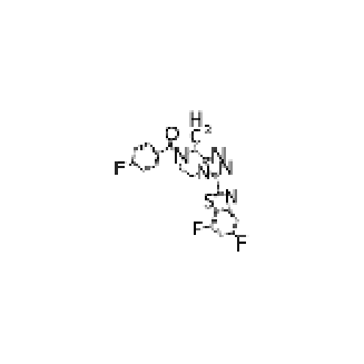 C[C@@H]1c2nnc(-c3nc4cc(F)cc(F)c4s3)n2CCN1C(=O)c1ccc(F)cc1